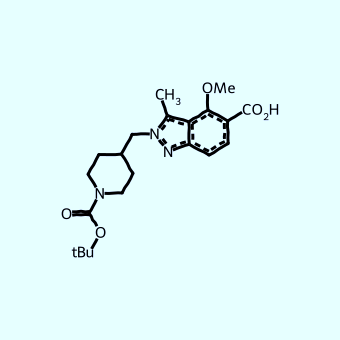 COc1c(C(=O)O)ccc2nn(CC3CCN(C(=O)OC(C)(C)C)CC3)c(C)c12